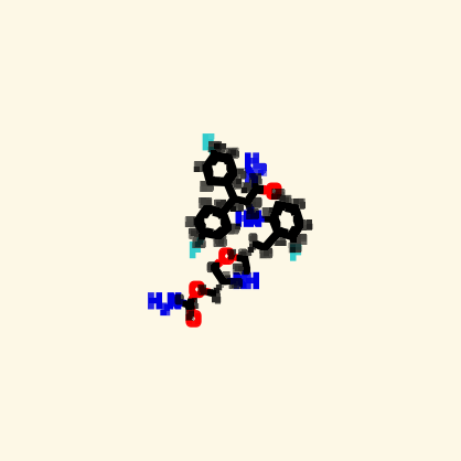 NC(=O)OC[C@@H]1CO[C@H](CCc2c(F)cccc2N[C@H](C(N)=O)C(c2ccc(F)cc2)c2ccc(F)cc2)CN1